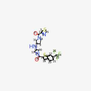 O=C(c1cscn1)N1CC[C@H](NC2CN(C(=O)c3cc4ccc(C(F)(F)F)cc4s3)C2)C1